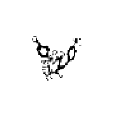 CCN(CC)C(=O)C(Cc1ccc(N)cc1)C(=O)NS(=O)(=O)c1ccc(Cl)cc1